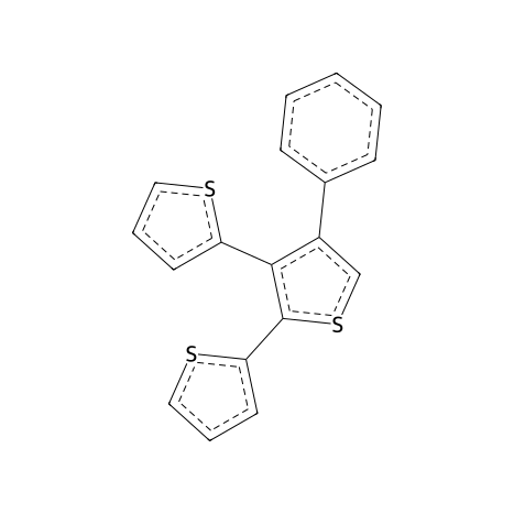 c1ccc(-c2csc(-c3cccs3)c2-c2cccs2)cc1